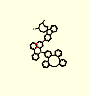 CCC1CCC2(/C=C/C(C)C1)c1ccccc1-c1ccc(-c3cccc(N(c4ccc5c(c4)-c4ccccc4CCc4ccccc4-c4ccccc4-5)c4ccccc4-c4ccccc4)c3)cc12